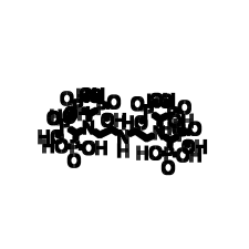 O=P(O)(O)C(N(CCNCCN(C(P(=O)(O)O)P(=O)(O)O)C(P(=O)(O)O)P(=O)(O)O)C(P(=O)(O)O)P(=O)(O)O)P(=O)(O)O